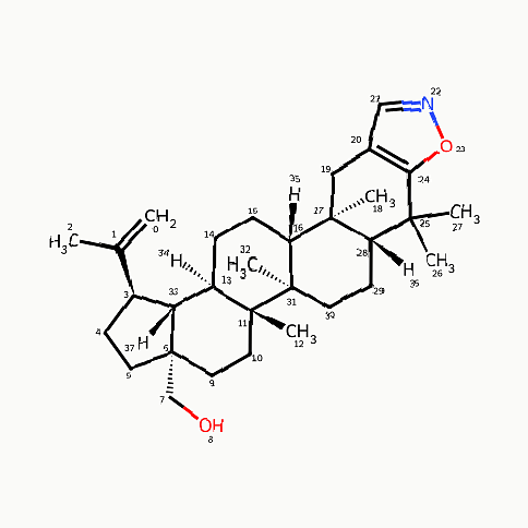 C=C(C)[C@@H]1CC[C@]2(CO)CC[C@]3(C)[C@H](CC[C@@H]4[C@@]5(C)Cc6cnoc6C(C)(C)[C@@H]5CC[C@]43C)[C@@H]12